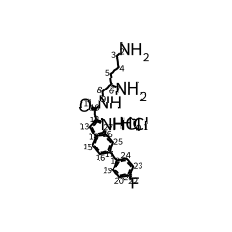 Cl.Cl.NCCCC(N)CNC(=O)c1cc2ccc(-c3ccc(F)cc3)cc2[nH]1